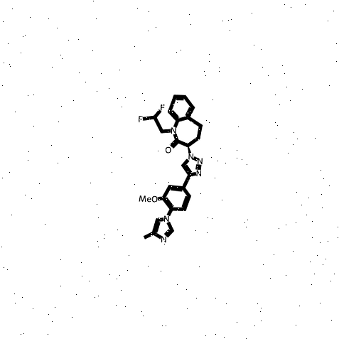 COc1cc(-c2cn([C@@H]3CCc4ccccc4N(CC(F)F)C3=O)nn2)ccc1-n1cnc(C)c1